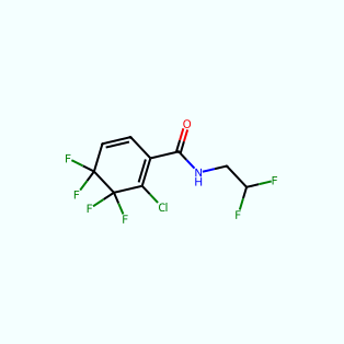 O=C(NCC(F)F)C1=C(Cl)C(F)(F)C(F)(F)C=C1